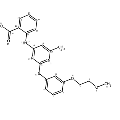 COCCOc1cccc(Sc2nc(C)cc(Nc3ccccc3C(=O)O)n2)c1